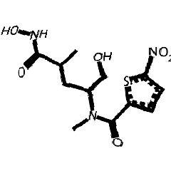 CC(CC(CO)N(C)C(=O)c1ccc([N+](=O)[O-])s1)C(=O)NO